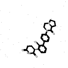 O=C1CC[C@@H](c2cccc(-c3ccc(N4CCN5CCCC5C4=O)cc3)c2Cl)C(=O)N1